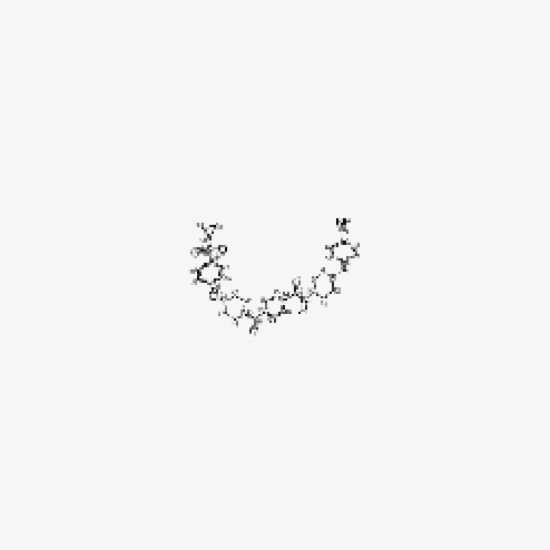 N#Cc1ccc(CN2CCC(NC(=O)c3ccc(C(=O)N4CCC(Oc5ccc(S(=O)(=O)C6CC6)cc5)CC4)nc3)CC2)cc1